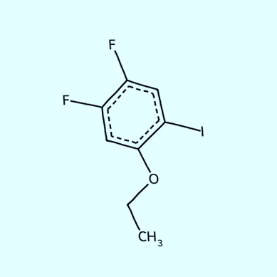 CCOc1cc(F)c(F)cc1I